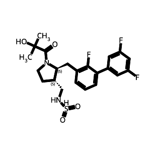 CC(C)(O)C(=O)N1CC[C@@H](CN[SH](=O)=O)[C@@H]1Cc1cccc(-c2cc(F)cc(F)c2)c1F